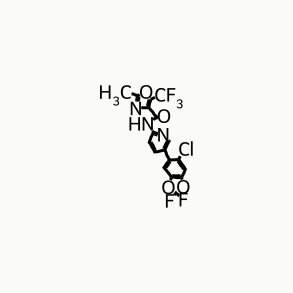 Cc1nc(C(=O)Nc2ccc(-c3cc4c(cc3Cl)OC(F)(F)O4)cn2)c(C(F)(F)F)o1